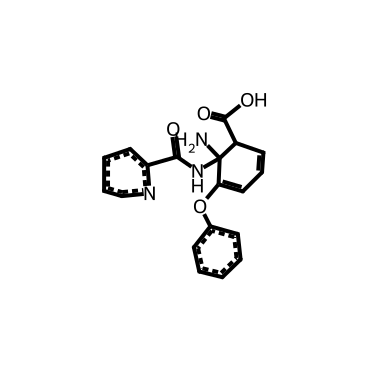 NC1(NC(=O)c2ccccn2)C(Oc2ccccc2)=CC=CC1C(=O)O